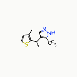 Cc1ccsc1C(C)c1cn[nH]c1C(F)(F)F